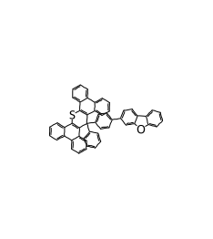 c1ccc(C2(c3ccc(-c4ccc5c(c4)oc4ccccc45)cc3)c3c(c4ccccc4c4ccccc34)Sc3c2c2ccccc2c2ccccc32)cc1